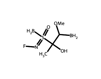 BC(OC)C(C)(O)S(B)(=O)=NF